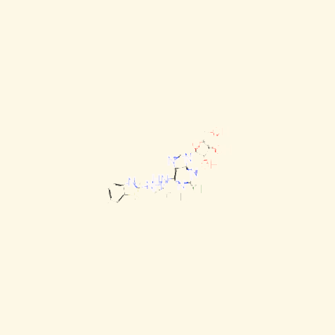 C[C@H](CNc1nc2ccccc2s1)Nc1nc(Cl)nc2c1ncn2[C@@H]1O[C@H](CO)C(O)C1O